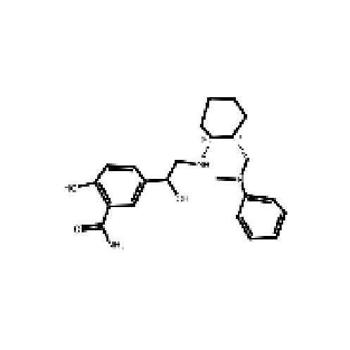 CN(C[C@H]1CCCC[C@H]1NCC(O)c1ccc(O)c(C(N)=O)c1)c1ccccc1